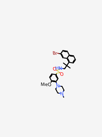 COc1ccc(S(=O)(=O)NCC(C)(C)c2cccc3ccc(Br)cc23)cc1N1CCN(C)CC1